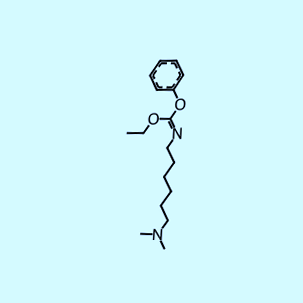 CCOC(=NCCCCCCN(C)C)Oc1ccccc1